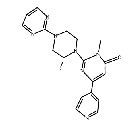 C[C@@H]1CN(c2ncccn2)CCN1c1nc(-c2ccncc2)cc(=O)n1C